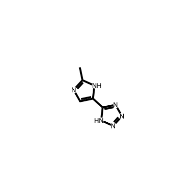 Cc1ncc(-c2nnn[nH]2)[nH]1